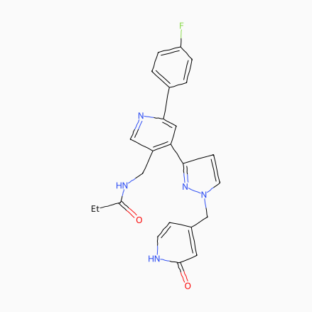 CCC(=O)NCc1cnc(-c2ccc(F)cc2)cc1-c1ccn(Cc2cc[nH]c(=O)c2)n1